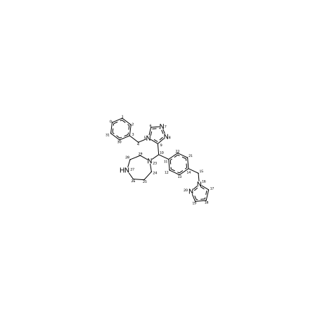 c1ccc(Cn2cnnc2C(c2ccc(Cn3cccn3)cc2)N2CCCNCC2)cc1